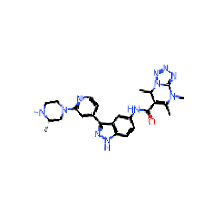 CC1=C(C(=O)Nc2ccc3[nH]nc(-c4ccnc(N5CCN[C@@H](C)C5)c4)c3c2)C(C)n2nnnc2N1C